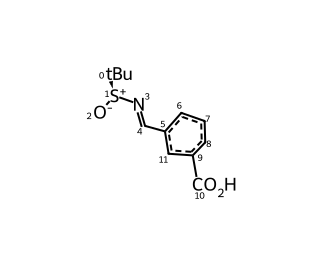 CC(C)(C)[S@+]([O-])/N=C/c1cccc(C(=O)O)c1